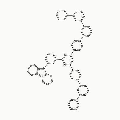 c1ccc(-c2cccc(-c3ccc(-c4cc(-c5ccc(-c6cccc(-c7cccc(-c8ccccc8)c7)c6)cc5)nc(-c5cccc(-n6c7ccccc7c7ccccc76)c5)n4)cc3)c2)cc1